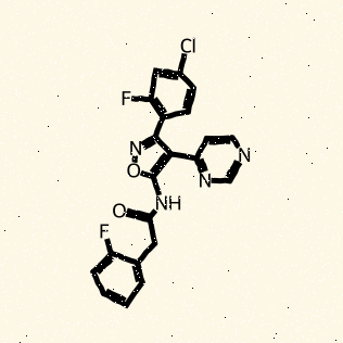 O=C(Cc1ccccc1F)Nc1onc(-c2ccc(Cl)cc2F)c1-c1ccncn1